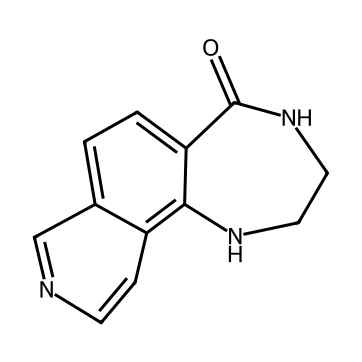 O=C1NCCNc2c1ccc1cnccc21